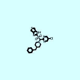 O=S(=O)(c1nc2cscc2[nH]1)C(c1ncc(Cl)cn1)N1CCC(Cc2ccccc2)CC1